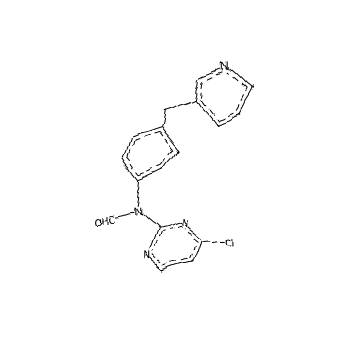 O=CN(c1ccc(Cc2cccnc2)cc1)c1nccc(Cl)n1